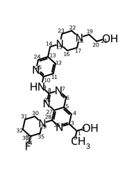 CC(O)c1cc2cnc(Nc3ccc(CN4CCN(CCO)CC4)cn3)nc2c(N2CCC[C@H](F)C2)n1